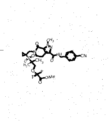 COC(=O)C(F)(F)OCC(C)(C)S(=O)(=O)C1(CN2CCc3c(C(=O)NCc4ccc(C#N)cc4)nn(C)c3C2=O)CC1